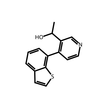 CC(O)c1cnccc1-c1cccc2ccsc12